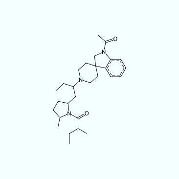 CCC(C)C(=O)N1C(C)CCC1CC(CC)N1CCC2(CC1)CN(C(C)=O)c1ccccc12